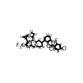 C[C@]1(c2ccc(Cl)cc2F)Oc2cccc(C3CCN(Cc4nc(C(F)(F)F)c(C5CC5)n4C[C@@H]4CCO4)CC3)c2O1